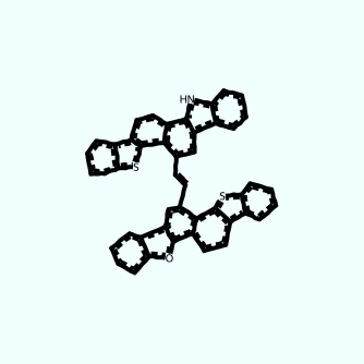 C(=C\c1cc2c3ccccc3oc2c2ccc3c4ccccc4sc3c12)/c1cc2c3ccccc3[nH]c2c2ccc3c4ccccc4sc3c12